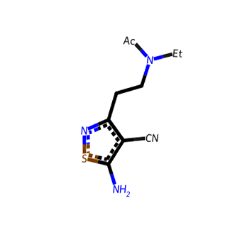 CCN(CCc1nsc(N)c1C#N)C(C)=O